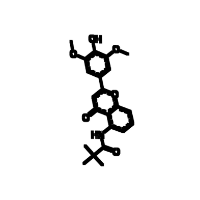 COc1cc(-c2cc(=O)c3c(NC(=O)C(C)(C)C)cccc3o2)cc(OC)c1O